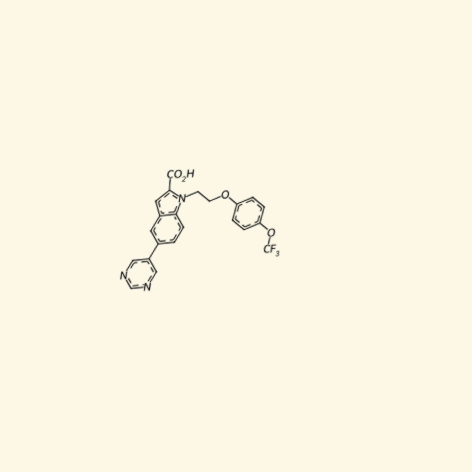 O=C(O)c1cc2cc(-c3cncnc3)ccc2n1CCOc1ccc(OC(F)(F)F)cc1